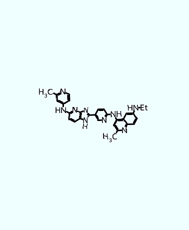 CCNc1ccc2nc(C)cc(Nc3ccc(-c4nc5nc(Nc6ccnc(C)c6)ccc5[nH]4)cn3)c2c1